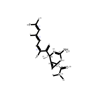 C=C(\C(F)=C/C=C(C)/C=C(\F)I)[C@@]1(C)N=C(N)S[C@@]2(C(=O)N(C)C)C=C12